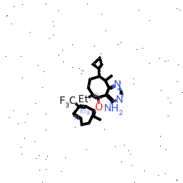 CC/C1=C(\OC2=C(\C)CC/C=C/C(C(F)(F)F)=C\2)c2c(N)ncnc2C(C)C(C2CCC2)CC1